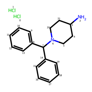 Cl.Cl.NC1CCN(C(c2ccccc2)c2ccccc2)CC1